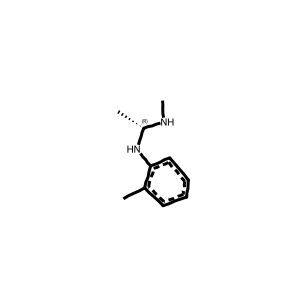 CN[C@@H](C)Nc1ccccc1C